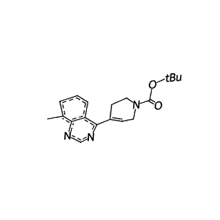 Cc1cccc2c(C3=CCN(C(=O)OC(C)(C)C)CC3)ncnc12